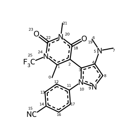 Cc1c(-c2c(N(C)C)cnn2-c2ccc(C#N)cc2)c(=O)n(C)c(=O)n1C(F)(F)F